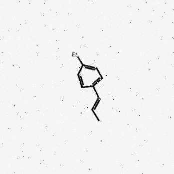 [CH2]C=Cc1ccc(CC)cc1